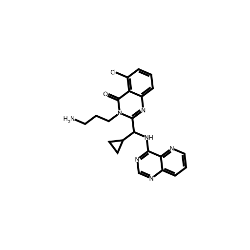 NCCCn1c(C(Nc2ncnc3cccnc23)C2CC2)nc2cccc(Cl)c2c1=O